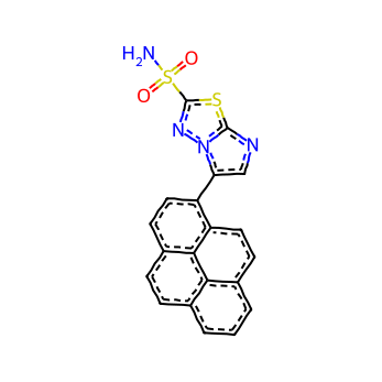 NS(=O)(=O)c1nn2c(-c3ccc4ccc5cccc6ccc3c4c56)cnc2s1